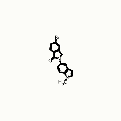 Cn1ccc2cc(N3Cc4cc(Br)ccc4C3=O)ccc21